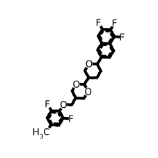 Cc1cc(F)c(OCC2COC(C3CCC(c4ccc5c(F)c(F)c(F)cc5c4)OC3)OC2)c(F)c1